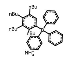 CCCCc1cc([B-](c2ccccc2)(c2ccccc2)c2ccccc2)c(CCCC)c(CCCC)c1CCCC.[NH4+]